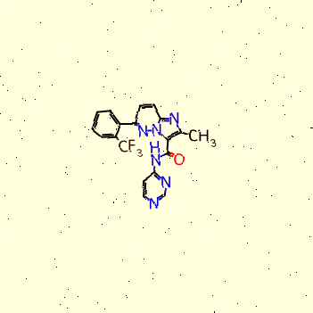 Cc1nc2ccc(-c3ccccc3C(F)(F)F)nn2c1C(=O)Nc1ccncn1